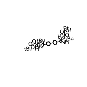 CCNC(=O)C(=O)NC(c1nc(-c2ccc(-c3ccc(-c4c[nH]c(C(NC(=O)C(=O)OC(C)(C)C)C(C)(C)C)n4)cc3)cc2)c[nH]1)C(C)(C)C